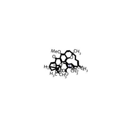 COC(=O)/C(C)=C\C[C@@]12OC(C)(C)C3C[C@@H](C=C4C(=O)c5c(OC)c6c(c(CC=C(C)C)c5O[C@]431)O[C@](C)(CCC=C(C)C)C=C6)C2=O